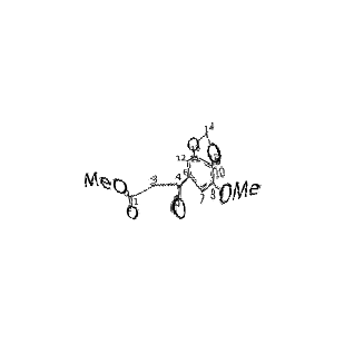 COC(=O)CC(=O)c1cc(OC)c2c(c1)OCO2